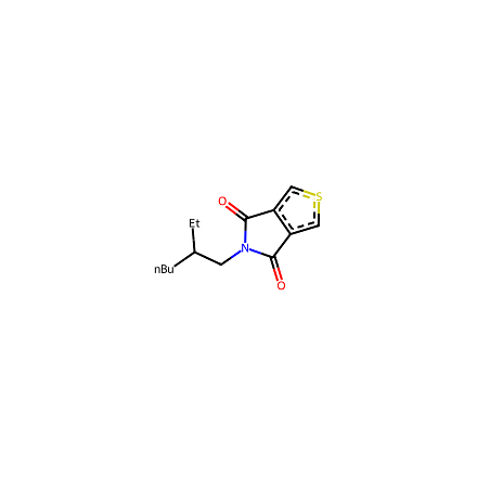 CCCCC(CC)CN1C(=O)c2cscc2C1=O